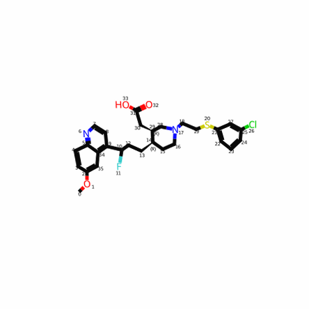 COc1ccc2nccc(C(F)CC[C@@H]3CCN(CCSc4cccc(Cl)c4)C[C@@H]3CC(=O)O)c2c1